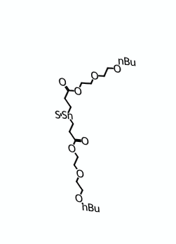 CCCCOCCOCCOC(=O)C[CH2][Sn](=[S])[CH2]CC(=O)OCCOCCOCCCC